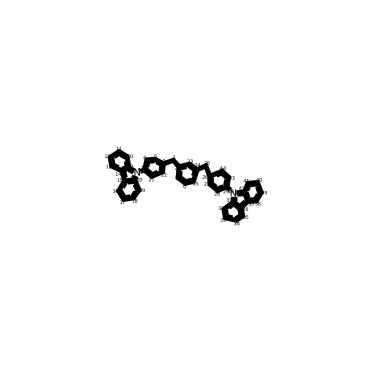 c1cc(Cc2ccc(-n3c4ccccc4c4ccccc43)cc2)cc(Cc2ccc(-n3c4ccccc4c4ccccc43)cc2)c1